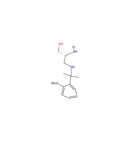 CCN[C@@H](CO)CNC(C)(C)c1ccccc1OC